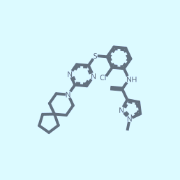 C=C(Nc1cccc(Sc2cnc(N3CCC4(CCCC4)CC3)cn2)c1Cl)c1ccn(C)n1